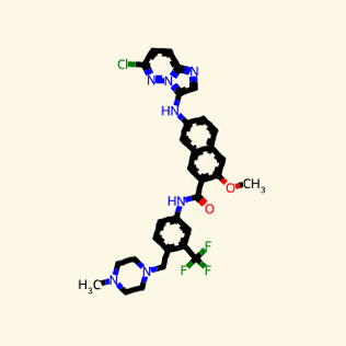 COc1cc2ccc(Nc3cnc4ccc(Cl)nn34)cc2cc1C(=O)Nc1ccc(CN2CCN(C)CC2)c(C(F)(F)F)c1